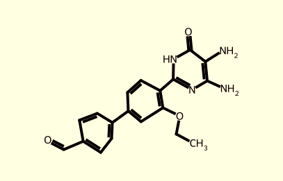 CCOc1cc(-c2ccc(C=O)cc2)ccc1-c1nc(N)c(N)c(=O)[nH]1